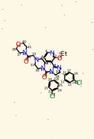 CCOc1ncccc1C1=N[C@H](c2ccc(Cl)cc2)[C@H](c2ccc(Cl)cc2)N1C(=O)N1CCN(CC(=O)N2CCOCC2)CC1